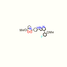 COC(=O)[C@@H]1CCCN1C(=O)C1CC=C(c2cc3c(-c4cc(F)ccc4OC)ccnc3[nH]2)CC1